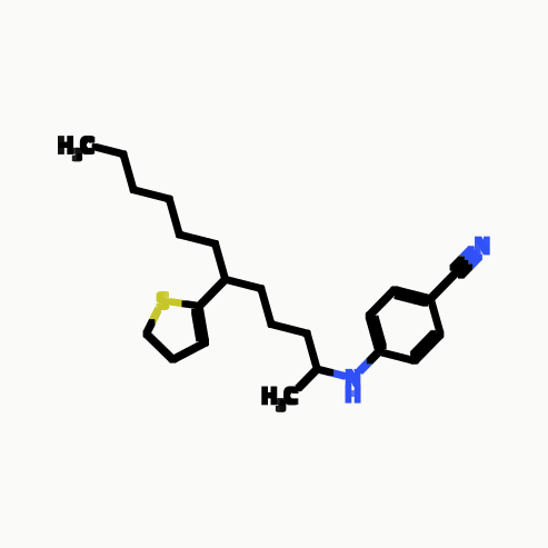 CCCCCCC(CCCC(C)Nc1ccc(C#N)cc1)C1=CCCS1